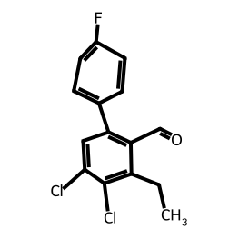 CCc1c(Cl)c(Cl)cc(-c2ccc(F)cc2)c1C=O